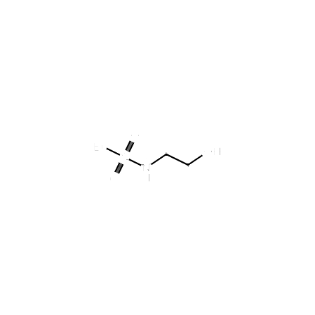 CCS(=O)(=O)NCCO